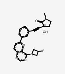 CN1CC[C@@](O)(C#Cc2cccc(-c3ccc4ncnc(N5CC(F)C5)c4n3)c2)C1=O